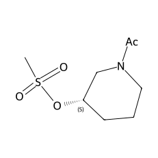 CC(=O)N1CCC[C@H](OS(C)(=O)=O)C1